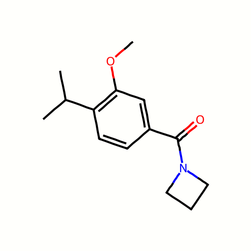 COc1cc(C(=O)N2CCC2)ccc1C(C)C